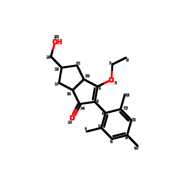 CCOC1=C(c2c(C)cc(C)cc2C)C(=O)C2CC(CO)CC12